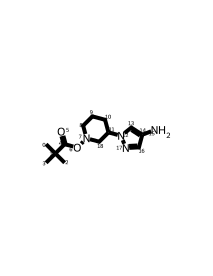 CC(C)(C)C(=O)ON1CCCC(n2cc(N)cn2)C1